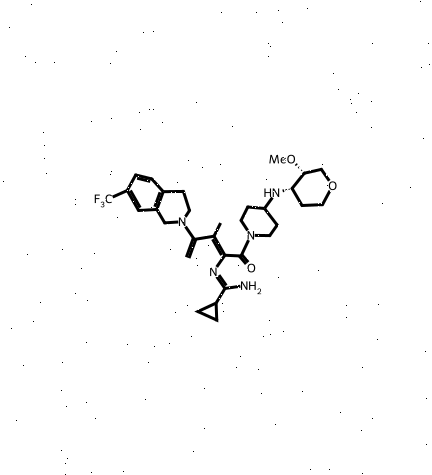 C=C(/C(C)=C(\N=C(/N)C1CC1)C(=O)N1CCC(N[C@H]2CCOC[C@H]2OC)CC1)N1CCc2ccc(C(F)(F)F)cc2C1